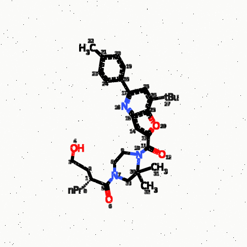 CCC[C@H](CCO)C(=O)N1CCN(C(=O)c2cc3nc(-c4ccc(C)cc4)cc(C(C)(C)C)c3o2)C(C)(C)C1